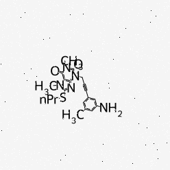 CCCSc1nc2c(c(=O)n(C)c(=O)n2CC#Cc2cc(C)cc(N)c2)n1C